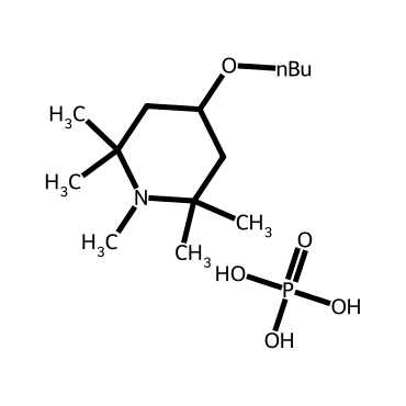 CCCCOC1CC(C)(C)N(C)C(C)(C)C1.O=P(O)(O)O